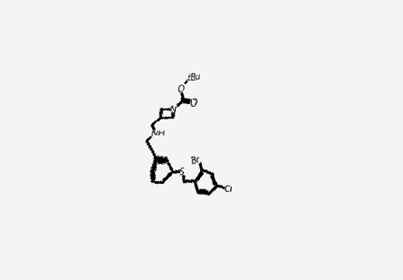 CC(C)(C)OC(=O)N1CC(CNCc2cccc(SCc3ccc(Cl)cc3Br)c2)C1